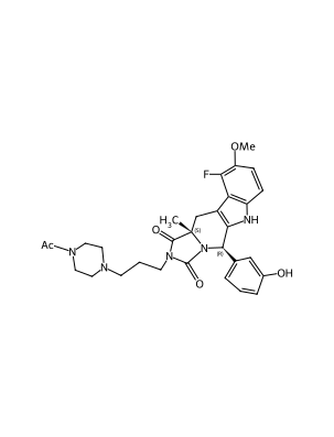 COc1ccc2[nH]c3c(c2c1F)C[C@@]1(C)C(=O)N(CCCN2CCN(C(C)=O)CC2)C(=O)N1[C@@H]3c1cccc(O)c1